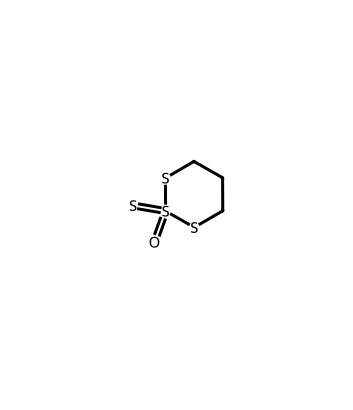 O=S1(=S)SCCCS1